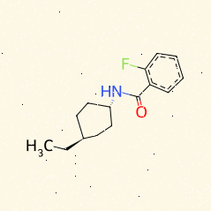 CC[C@H]1CC[C@H](NC(=O)c2ccccc2F)CC1